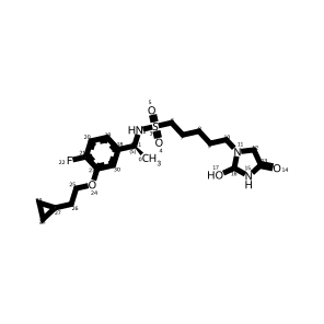 C[C@H](NS(=O)(=O)CCCCCN1CC(=O)NC1O)c1ccc(F)c(OCCC2CC2)c1